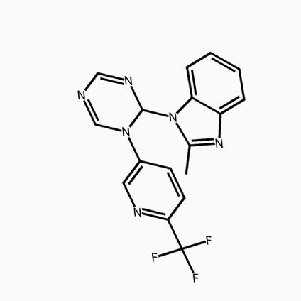 Cc1nc2ccccc2n1C1N=CN=CN1c1ccc(C(F)(F)F)nc1